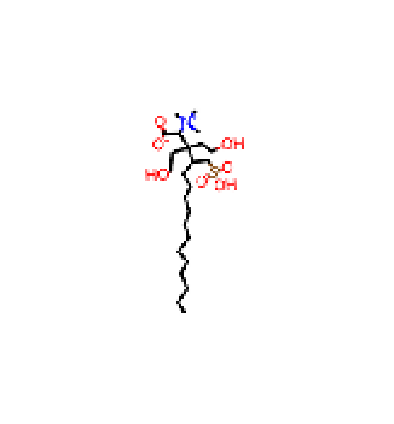 CCCCCCCCCCCCC(CS(=O)(=O)O)C(CCO)(CCO)C(C(=O)[O-])[N+](C)(C)C